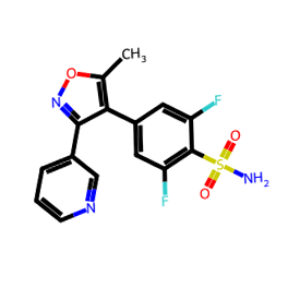 Cc1onc(-c2cccnc2)c1-c1cc(F)c(S(N)(=O)=O)c(F)c1